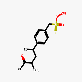 CCC(=O)C(C)CC(CC)c1ccc(CS(=O)(=S)OO)cc1